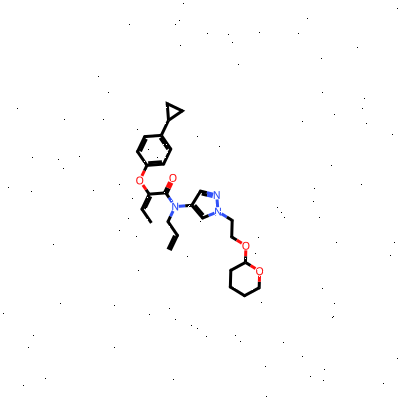 C=CCN(C(=O)C(=CC)Oc1ccc(C2CC2)cc1)c1cnn(CCOC2CCCCO2)c1